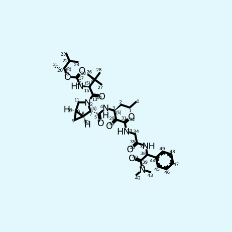 CCC[C@H](NC(=O)[C@@H]1[C@H]2C[C@H]2CN1C(=O)[C@@H](NC(=O)O[C@H](C)C(C)C)C(C)(C)C)C(=O)C(=O)NCC(=O)NC(C(=O)N(C)C)c1ccccc1